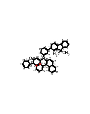 CC1(C)c2ccccc2-c2ccc(C3=CCCC(N(C4=CC5Oc6ccccc6C5C=C4)c4ccc5ccccc5c4-c4ccccc4)=C3)cc21